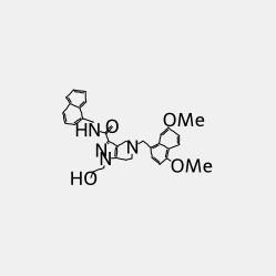 COc1ccc2c(OC)ccc(CN3CCc4c(c(C(=O)NCc5cccc6ccccc56)nn4CCO)C3)c2c1